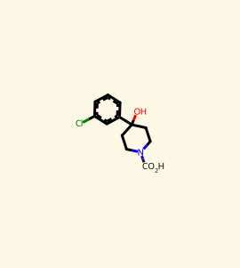 O=C(O)N1CCC(O)(c2cccc(Cl)c2)CC1